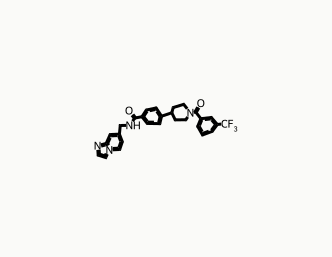 O=C(NCc1ccn2ccnc2c1)c1ccc(C2CCN(C(=O)c3cccc(C(F)(F)F)c3)CC2)cc1